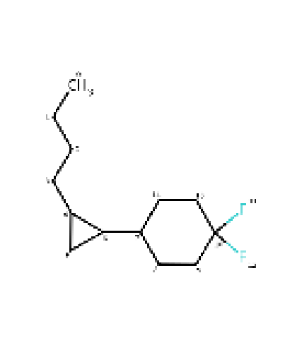 CCCCC1CC1C1CCC(F)(F)CC1